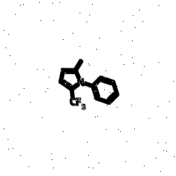 Cc1ccc(C(F)(F)F)n1-c1ccccc1